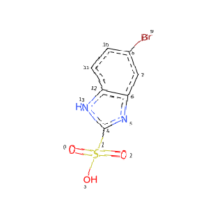 O=S(=O)(O)c1nc2cc(Br)ccc2[nH]1